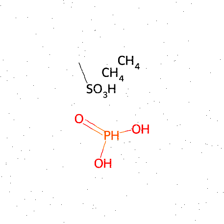 C.C.CS(=O)(=O)O.O=[PH](O)O